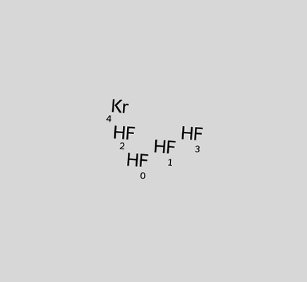 F.F.F.F.[Kr]